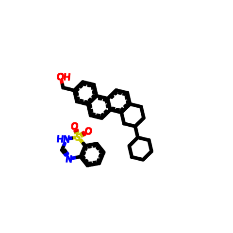 O=S1(=O)NC=Nc2ccccc21.OCc1ccc2c(ccc3c4c(ccc32)CCC(C2CCCCC2)C4)c1